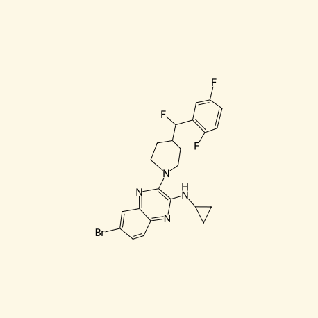 Fc1ccc(F)c(C(F)C2CCN(c3nc4cc(Br)ccc4nc3NC3CC3)CC2)c1